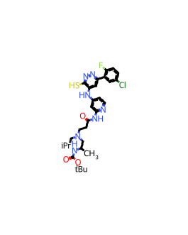 CC(C)CN(CCC(=O)Nc1cc(Nc2cc(-c3cc(Cl)ccc3F)nnc2S)ccn1)CC(C)NC(=O)OC(C)(C)C